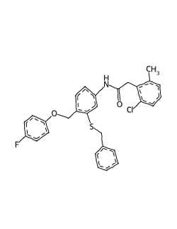 Cc1cccc(Cl)c1CC(=O)Nc1ccc(COc2ccc(F)cc2)c(SCc2ccccc2)c1